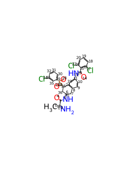 C[C@@H](N)C(=O)N[C@@H]1Cc2ccc(NC(=O)c3c(Cl)cccc3Cl)cc2C(S(=O)(=O)c2cccc(Cl)c2)C1